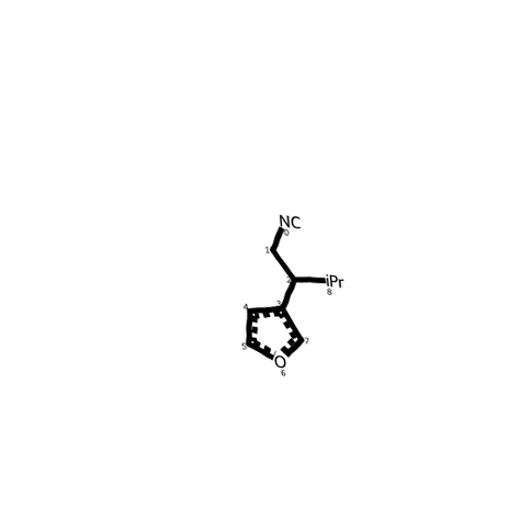 [C-]#[N+]CC(c1ccoc1)C(C)C